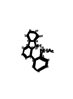 CC(=O)Nc1ccccc1-c1cccc2c1[nH]c1ccccc12